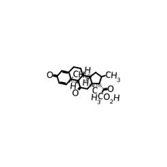 CC1C[C@H]2[C@@H]3CCC4=CC(=O)C=C[C@]4(C)[C@H]3C(=O)C[C@]2(C)[C@H]1C(=O)C(=O)O